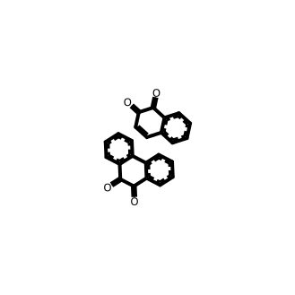 O=C1C(=O)c2ccccc2-c2ccccc21.O=C1C=Cc2ccccc2C1=O